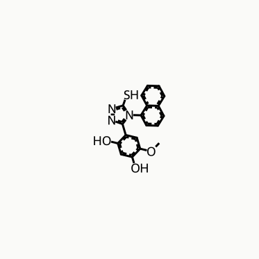 COc1cc(-c2nnc(S)n2-c2cccc3ccccc23)c(O)cc1O